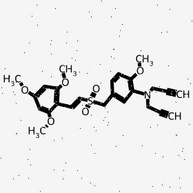 C#CCN(CC#C)c1cc(CS(=O)(=O)/C=C/c2c(OC)cc(OC)cc2OC)ccc1OC